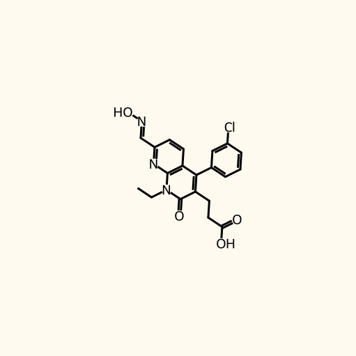 CCn1c(=O)c(CCC(=O)O)c(-c2cccc(Cl)c2)c2ccc(C=NO)nc21